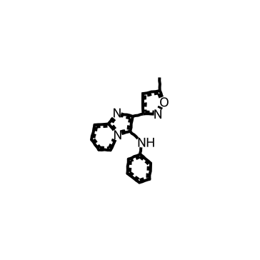 Cc1cc(-c2nc3ccccn3c2Nc2ccccc2)no1